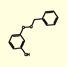 Oc1cccc(OOCc2ccccc2)c1